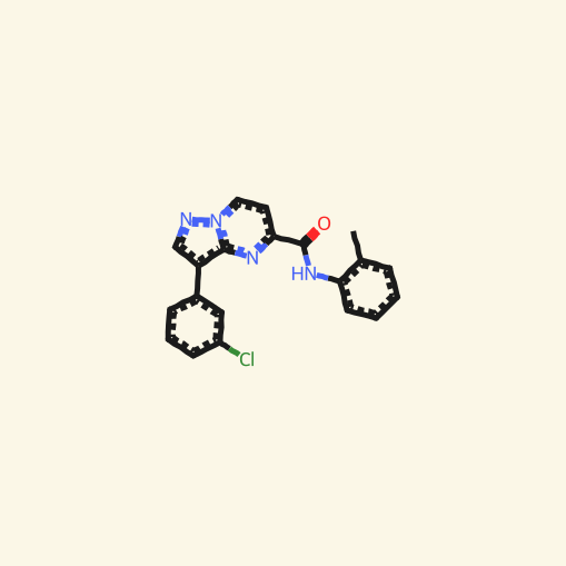 Cc1ccccc1NC(=O)c1ccn2ncc(-c3cccc(Cl)c3)c2n1